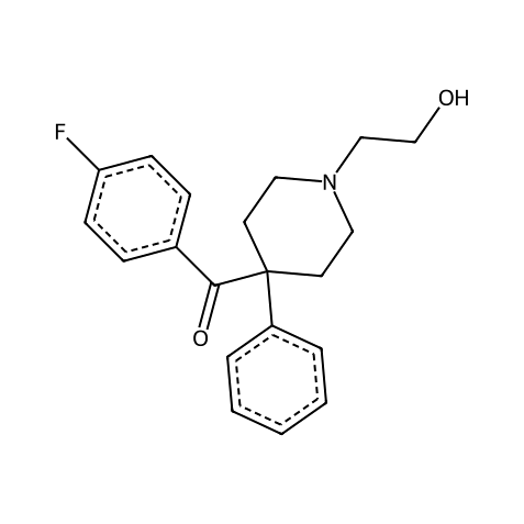 O=C(c1ccc(F)cc1)C1(c2ccccc2)CCN(CCO)CC1